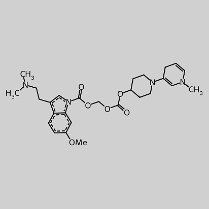 COc1ccc2c(CCN(C)C)cn(C(=O)OCOC(=O)OC3CCN(C4=CN(C)C=CC4)CC3)c2c1